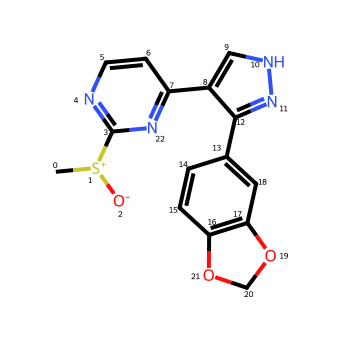 C[S+]([O-])c1nccc(-c2c[nH]nc2-c2ccc3c(c2)OCO3)n1